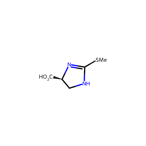 CSC1=N[C@H](C(=O)O)CN1